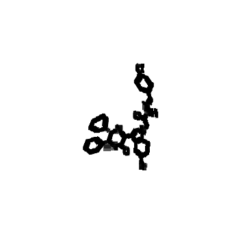 O=C(Cn1cc(C2=N[C@@H](c3ccccc3)[C@H](c3ccccc3)NC2=O)c2cc(Br)ccc21)N/N=C/c1ccc(Cl)cc1